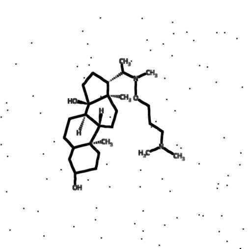 CC([C@H]1CC[C@@]2(O)[C@@H]3CCC4CC(O)CC[C@]4(C)[C@H]3CC[C@]12C)N(C)OCCCN(C)C